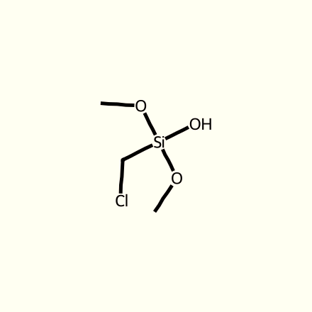 CO[Si](O)(CCl)OC